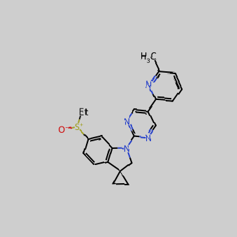 CC[S+]([O-])c1ccc2c(c1)N(c1ncc(-c3cccc(C)n3)cn1)CC21CC1